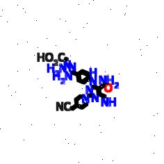 N#CCC1CCN(c2nc(C=N)c(C(N)=O)c(Nc3ccc(/C(N)=N/N(N)CC(=O)O)cc3)n2)CC1